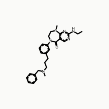 CCNc1ncc2c(n1)N(C)CCN(c1cccc(CCCN(C)Cc3ccccc3)c1)C2=O